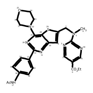 CCOC(=O)c1cnc(N(C)Cc2cc3nc(-c4ccc(NC(C)=O)cc4)nc(N4CCOCC4)c3s2)nc1